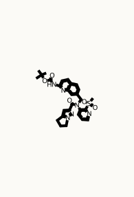 CC(C)(C)OC(=O)Nc1ccc2ccc(CN(C(=O)c3cc4n(n3)CCC4)c3cccnc3S(C)(=O)=O)cc2n1